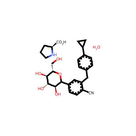 N#Cc1ccc(C2O[C@@H](CO)[C@H](O)[C@@H](O)[C@@H]2O)cc1Cc1ccc(C2CC2)cc1.O.O=C(O)[C@@H]1CCCN1